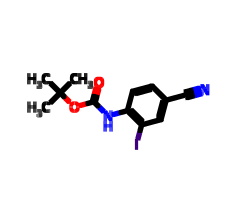 CC(C)(C)OC(=O)Nc1ccc(C#N)cc1I